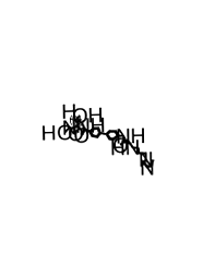 C[C@@H](O)[C@H](NC(=O)c1ccc(-c2ccc(NC(=O)CNCCCn3ccnc3)cc2)cc1)C(=O)NO